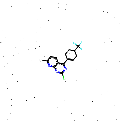 Cc1ccc2c(C3=CCC(C(F)(F)F)CC3)nc(Cl)nc2n1